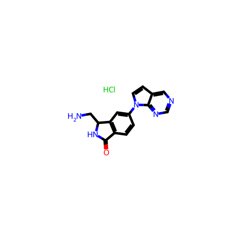 Cl.NCC1NC(=O)c2ccc(-n3ccc4cncnc43)cc21